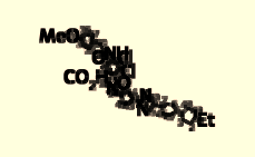 CC[C@H]1CC[C@H](C2CC=C(c3cnc(-c4ccc(CN(CC(=O)O)C(=O)c5ccc(NC(=O)Cc6ccc(OC)cc6)c(Cl)c5Cl)cc4)nc3)CC2)CC1